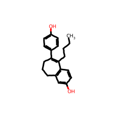 CCCCC1=C(c2ccc(O)cc2)CCCc2cc(O)ccc21